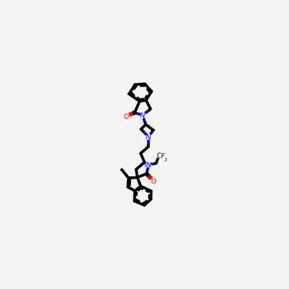 CC1=Cc2ccccc2C1(CCCCN1CC(N2Cc3ccccc3C2=O)C1)C(=O)NCC(F)(F)F